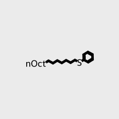 C[CH]CCCCCCCCCCCCCSc1ccccc1